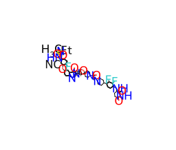 CCN(C)S(=O)(=O)Nc1ccc(F)c(Oc2ccc3ncn([C@H]4COC5(CCN(C(=O)CN6CCC(c7ccc(NC8CCC(=O)NC8=O)c(F)c7F)CC6)CC5)C4)c(=O)c3c2)c1C#N